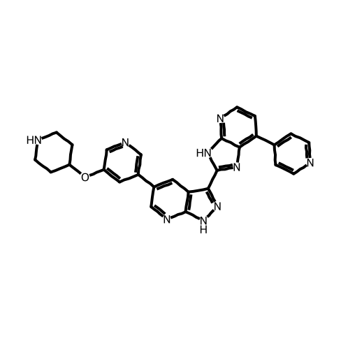 c1cc(-c2ccnc3[nH]c(-c4n[nH]c5ncc(-c6cncc(OC7CCNCC7)c6)cc45)nc23)ccn1